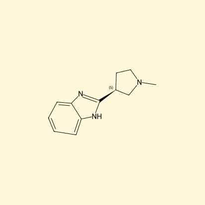 CN1CC[C@H](c2nc3ccccc3[nH]2)C1